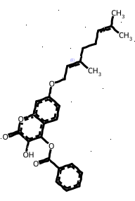 CC(C)=CCC/C(C)=C/COc1ccc2c(OC(=O)c3ccccc3)c(O)c(=O)oc2c1